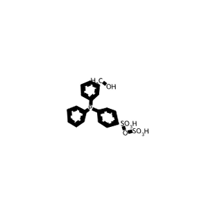 CO.O=S(=O)(O)OS(=O)(=O)O.c1ccc(P(c2ccccc2)c2ccccc2)cc1